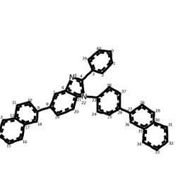 c1ccc(-c2nc3cc(-c4ccc5ccccc5c4)ccc3n2-c2ccc(-c3ccc4ccccc4c3)cc2)cc1